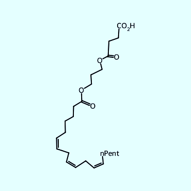 CCCCC/C=C\C/C=C\C/C=C\CCCCC(=O)OCCCOC(=O)CCC(=O)O